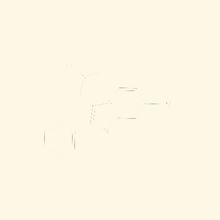 CCN(CC)Cc1c(-c2ccccc2)nc2cc(OC)ccn12